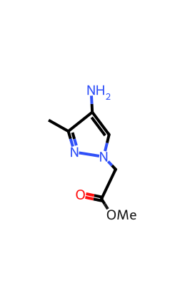 COC(=O)Cn1cc(N)c(C)n1